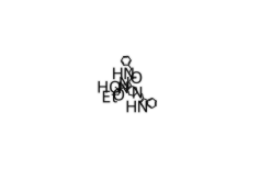 CCOC(O)n1nc(C(=O)NCc2ccccc2)c2c1CCN(Cc1c[nH]c3ccccc13)C2